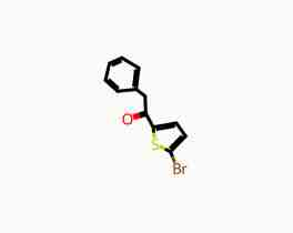 O=C(Cc1ccccc1)c1ccc(Br)s1